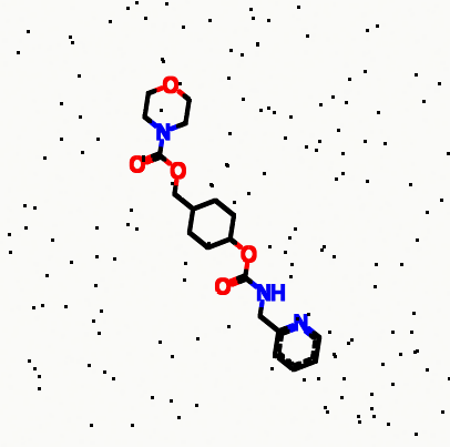 O=C(NCc1ccccn1)OC1CCC(COC(=O)N2CCOCC2)CC1